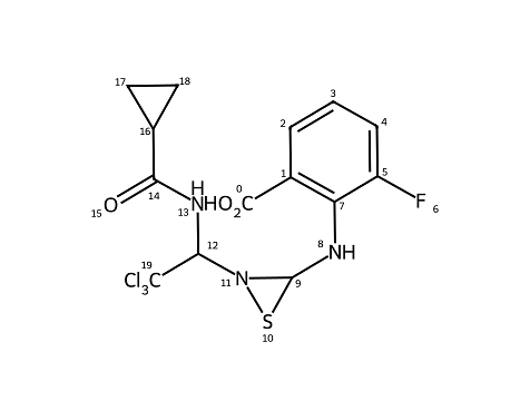 O=C(O)c1cccc(F)c1NC1SN1C(NC(=O)C1CC1)C(Cl)(Cl)Cl